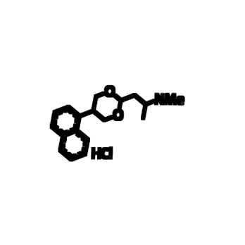 CNC(C)CC1OCC(c2cccc3ccccc23)CO1.Cl